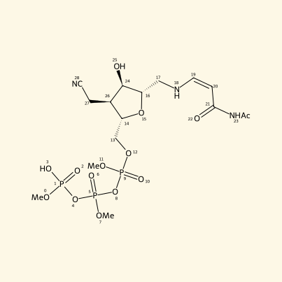 COP(=O)(O)OP(=O)(OC)OP(=O)(OC)OC[C@H]1O[C@@H](CN/C=C\C(=O)NC(C)=O)[C@H](O)[C@@H]1CC#N